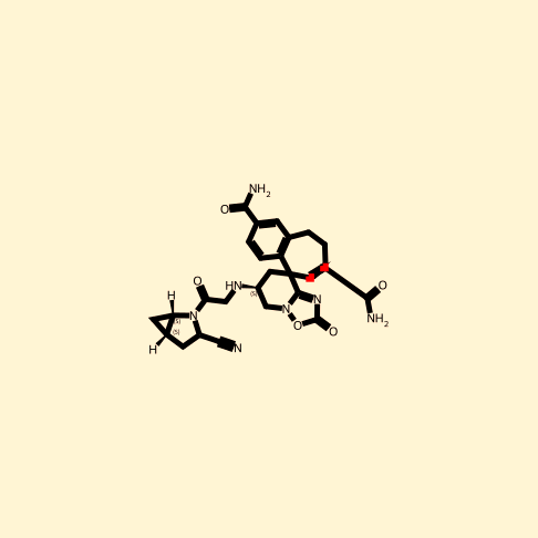 N#CC1C[C@@H]2C[C@@H]2N1C(=O)CN[C@@H]1Cn2oc(=O)nc2C2(C1)c1ccc(C(N)=O)cc1CCc1cc(C(N)=O)ccc12